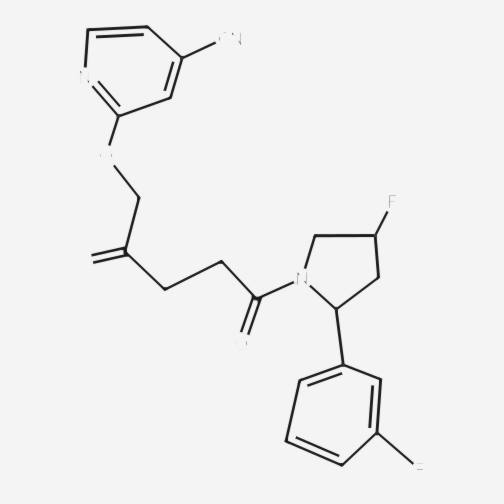 C=C(CCC(=O)N1CC(F)CC1c1cccc(F)c1)COc1cc(C#N)ccn1